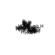 COC1C(O)[C@@H](CNC(=O)Nc2ccc(F)cc2)O[C@@H]1OC(C1C(=O)N(c2ccc(F)cc2)C(=O)N1CCCNC(=O)C(NC(=O)C(NC(=O)NC(C(=O)O)C(C)C)C1CCNC(=N)N1)C(O)C(C)C)[C@H]1O[C@@H](n2ccc(=O)[nH]c2=O)C(O)C1O